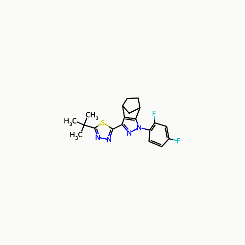 CC(C)(C)c1nnc(-c2nn(-c3ccc(F)cc3F)c3c2C2CCC3C2)s1